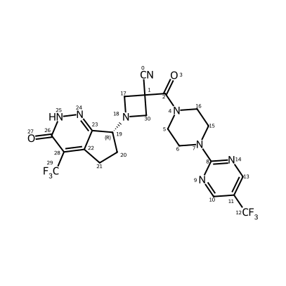 N#CC1(C(=O)N2CCN(c3ncc(C(F)(F)F)cn3)CC2)CN([C@@H]2CCc3c2n[nH]c(=O)c3C(F)(F)F)C1